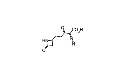 [N-]=[N+]=C(C(=O)O)C(=O)CCC1CC(=O)N1